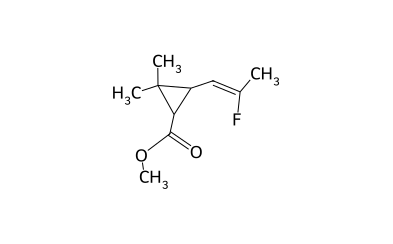 COC(=O)C1C(C=C(C)F)C1(C)C